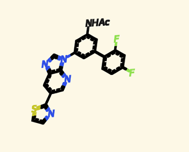 CC(=O)Nc1cc(-c2ccc(F)cc2F)cc(-n2cnc3cc(-c4nccs4)cnc32)c1